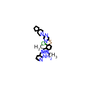 C=C(NCc1cccnc1N)c1c(NC)ccc(Sc2cnc(N3CCC4(CCCC4)CC3)cn2)c1Cl